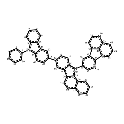 c1ccc(-n2c3ccccc3c3cc(-c4ccc5c(c4)c4ccc6ccccc6c4n5-c4cnc5c(c4)-c4ccnc6cccc-5c46)ccc32)cc1